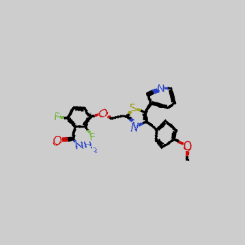 COc1ccc(-c2nc(COc3ccc(F)c(C(N)=O)c3F)sc2-c2cccnc2)cc1